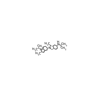 C=C(C)Nc1ccc2c(c1)C(=C)N(c1ccc3c(c1)cc(C)n3C(C)C)C2